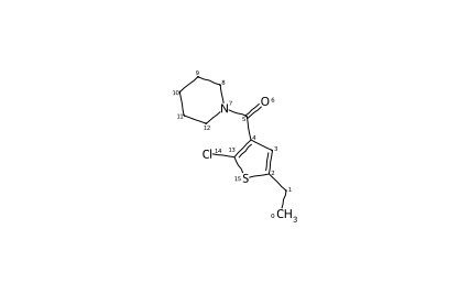 CCc1cc(C(=O)N2CCCCC2)c(Cl)s1